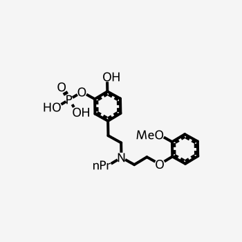 CCCN(CCOc1ccccc1OC)CCc1ccc(O)c(OP(=O)(O)O)c1